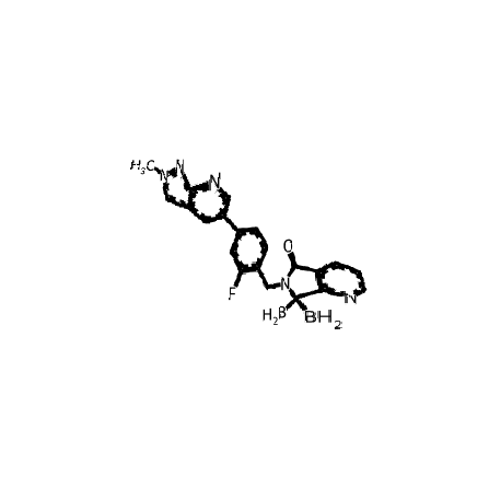 BC1(B)c2ncccc2C(=O)N1Cc1ccc(-c2cnc3nn(C)cc3c2)cc1F